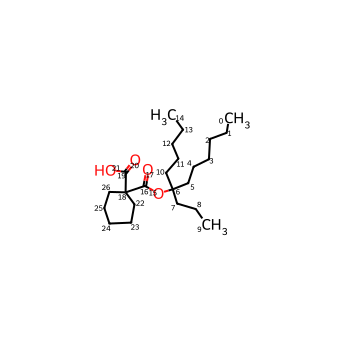 CCCCCCC(CCC)(CCCCC)OC(=O)C1(C(=O)O)CCCCC1